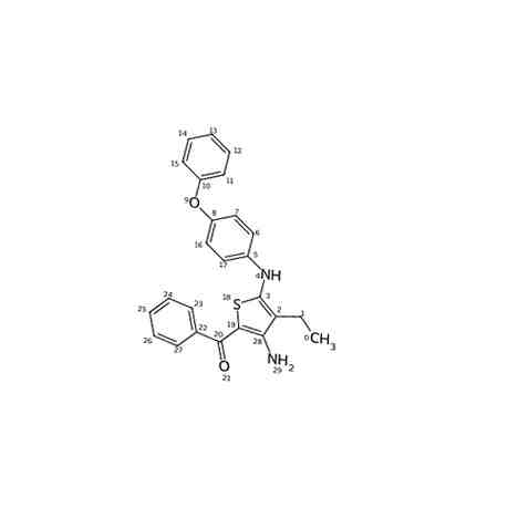 CCc1c(Nc2ccc(Oc3ccccc3)cc2)sc(C(=O)c2ccccc2)c1N